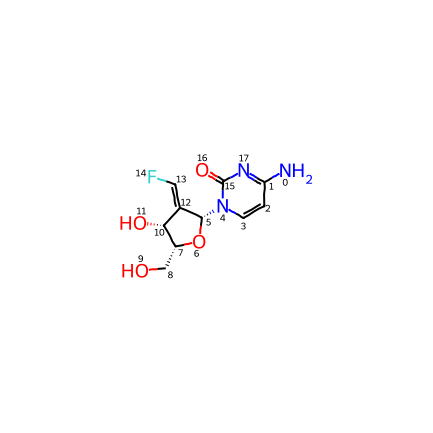 Nc1ccn([C@@H]2O[C@H](CO)[C@H](O)/C2=C\F)c(=O)n1